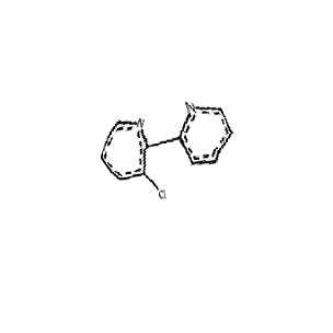 Clc1cccnc1-c1ccccn1